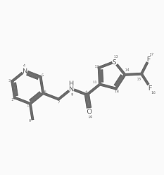 Cc1ccncc1CNC(=O)c1csc(C(F)F)c1